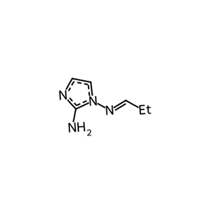 CC/C=N/n1ccnc1N